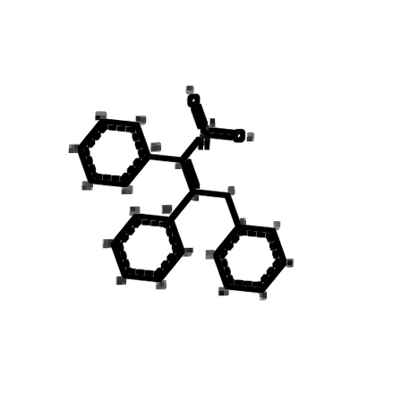 O=[SH](=O)C(=C(Cc1ccccc1)c1ccccc1)c1ccccc1